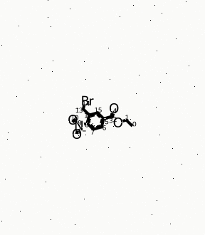 CCOC(=O)c1ccc([N+](=O)[O-])c(CBr)c1